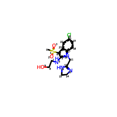 CS(=O)(=O)c1c(NCCO)n(CC2=NCCN2)c2ccc(Cl)cc12